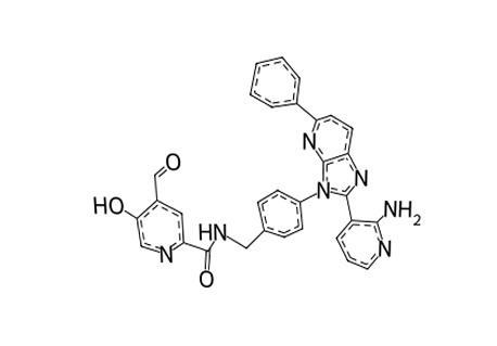 Nc1ncccc1-c1nc2ccc(-c3ccccc3)nc2n1-c1ccc(CNC(=O)c2cc(C=O)c(O)cn2)cc1